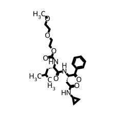 COCCOCCOC(=O)N[C@@H](CC(C)C)C(=O)N[C@@H](CC(=O)NC1CC1)C(=O)c1ccccc1